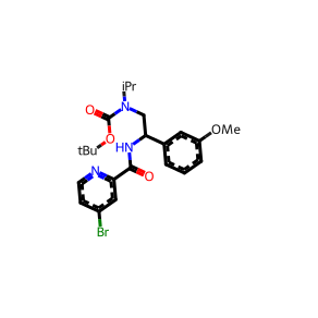 COc1cccc(C(CN(C(=O)OC(C)(C)C)C(C)C)NC(=O)c2cc(Br)ccn2)c1